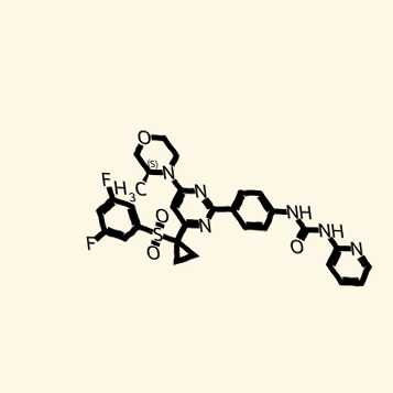 C[C@H]1COCCN1c1cc(C2(S(=O)(=O)c3cc(F)cc(F)c3)CC2)nc(-c2ccc(NC(=O)Nc3ccccn3)cc2)n1